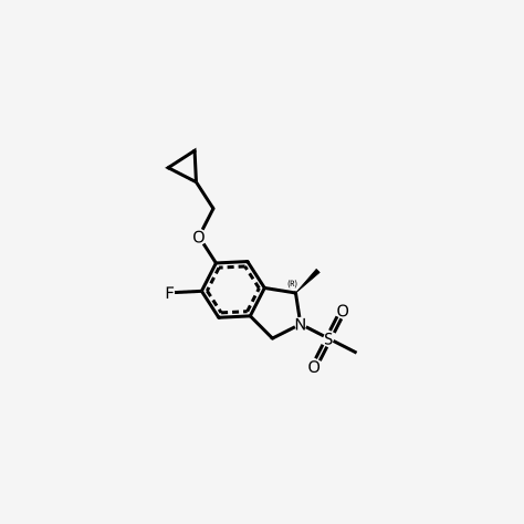 C[C@@H]1c2cc(OCC3CC3)c(F)cc2CN1S(C)(=O)=O